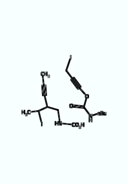 CC#CC(CNC(=O)O)C(C)I.CCCCNC(=O)OC#CCI